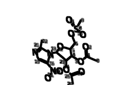 CC(=O)OC1C(COS(C)(=O)=O)OC(n2c([N+](=O)[O-])cnc2C)C1OC(C)=O